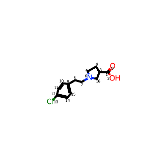 O=C(O)C1CCN(CCc2ccc(Cl)cc2)C1